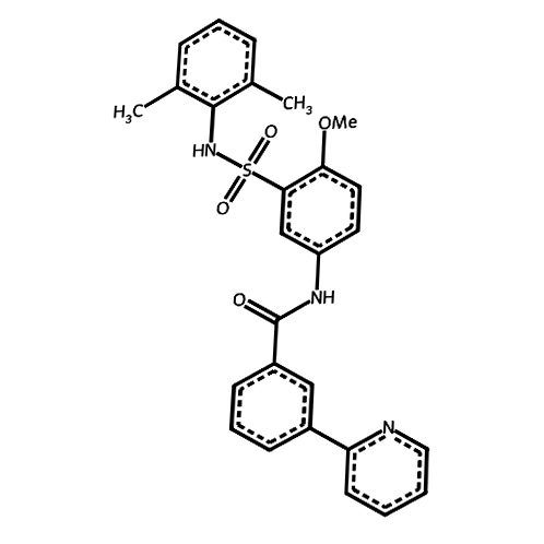 COc1ccc(NC(=O)c2cccc(-c3ccccn3)c2)cc1S(=O)(=O)Nc1c(C)cccc1C